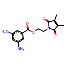 CC1=C(C)C(=O)N(CCOC(=O)c2cc(N)cc(N)c2)C1=O